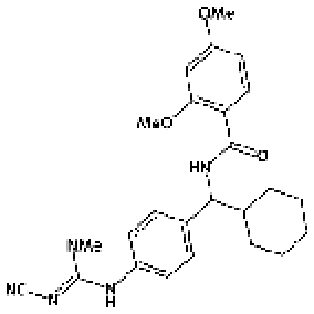 CN/C(=N\C#N)Nc1ccc(C(NC(=O)c2ccc(OC)cc2OC)C2CCCCC2)cc1